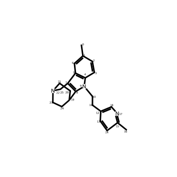 Cc1ccc2c(c1)c1c(n2CCc2ccc(C)nc2)C2CCN(CC2)C1